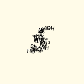 CCOP(=O)(O)Cc1ccc(Nc2ncc(C(F)(F)F)c(Nc3ccc(-c4cnn(CCCO)c4)c4c3C(=O)N(C)C4)n2)cc1